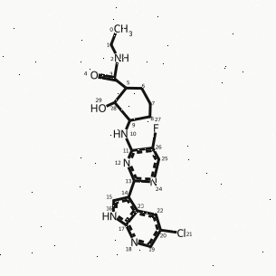 CCNC(=O)C1CCCC(Nc2nc(-c3c[nH]c4ncc(Cl)cc34)ncc2F)C1O